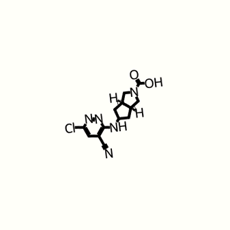 N#Cc1cc(Cl)nnc1NC1C[C@@H]2CN(C(=O)O)C[C@@H]2C1